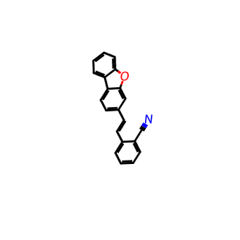 N#Cc1ccccc1/C=C/c1ccc2c(c1)oc1ccccc12